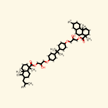 CCC1C(CC(C)C(C)C)CCC2C(C)(C(=O)OCC(O)COC3CCC(C(C)(C)C4CCC(OCC(O)COC(=O)C5(C)CCCC6(C)C7CCC(C(C)C)CC7CCC56)CC4)CC3)CCCC12C